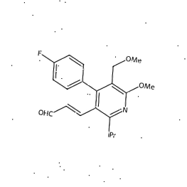 COCc1c(OC)nc(C(C)C)c(C=CC=O)c1-c1ccc(F)cc1